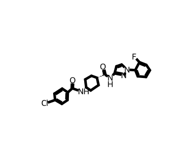 O=C(N[C@H]1CC[C@@H](C(=O)Nc2ccn(-c3ccccc3F)n2)CC1)c1ccc(Cl)cc1